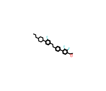 CCCC1CCC(c2ccc(CCc3ccc(-c4ccc(C5CO5)c(F)c4F)cc3)cc2F)CC1